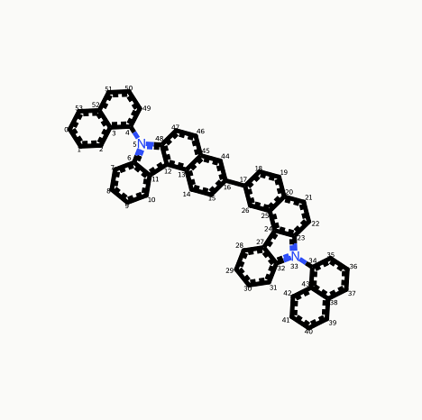 c1ccc2c(-n3c4ccccc4c4c5ccc(-c6ccc7ccc8c(c7c6)c6ccccc6n8-c6cccc7ccccc67)cc5ccc43)cccc2c1